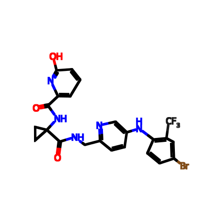 O=C(NC1(C(=O)NCc2ccc(Nc3ccc(Br)cc3C(F)(F)F)cn2)CC1)c1cccc(O)n1